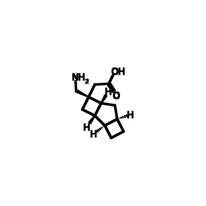 NC[C@]1(CC(=O)O)C[C@H]2[C@@H]3CC[C@@H]3C[C@H]21